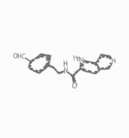 O=Cc1ccc(CNC(=O)c2cc3cnccc3[nH]2)cc1